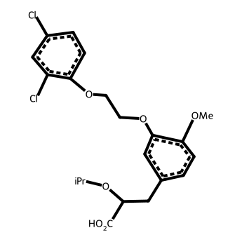 COc1ccc(CC(OC(C)C)C(=O)O)cc1OCCOc1ccc(Cl)cc1Cl